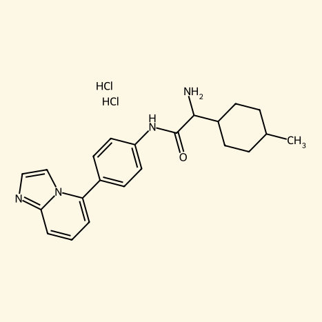 CC1CCC(C(N)C(=O)Nc2ccc(-c3cccc4nccn34)cc2)CC1.Cl.Cl